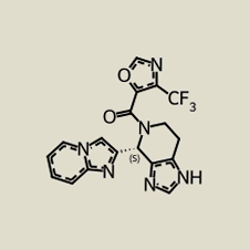 O=C(c1ocnc1C(F)(F)F)N1CCc2[nH]cnc2[C@@H]1c1cn2ccccc2n1